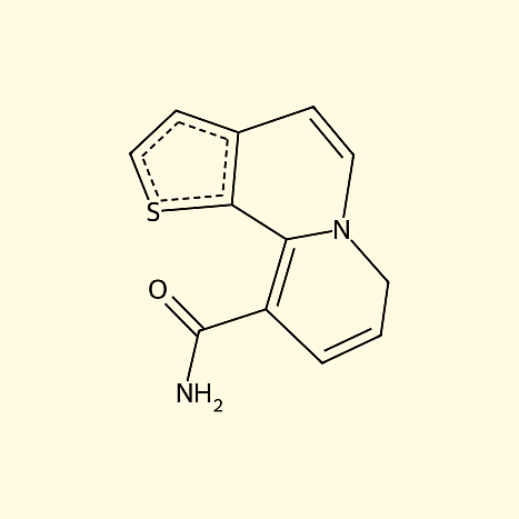 NC(=O)C1=C2c3sccc3C=CN2CC=C1